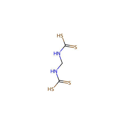 S=C(S)NCNC(=S)S